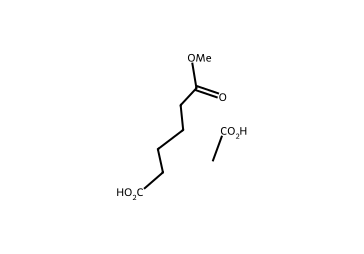 CC(=O)O.COC(=O)CCCCC(=O)O